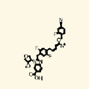 C=N/C(=C\C=C/Cc1cc(F)c(Cc2nc3ccc(C(=O)O)cc3n2C2COCC2OC)cc1F)OCc1ccc(C#N)cc1F